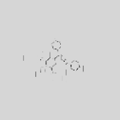 Cc1ccc(C(N=Nc2ccc(F)cc2)=C2C=C(C(C)(C)C)C(=O)C(C(C)(C)C)=C2)cc1